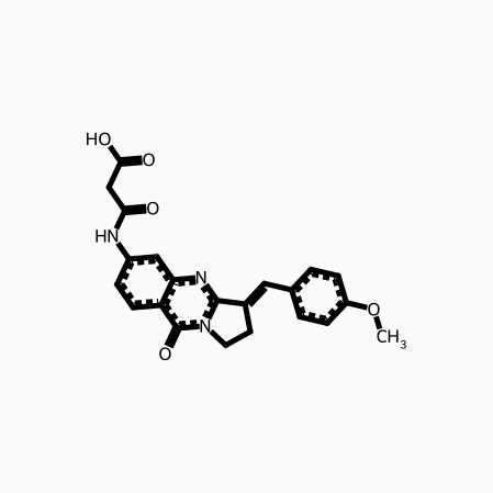 COc1ccc(C=C2CCn3c2nc2cc(NC(=O)CC(=O)O)ccc2c3=O)cc1